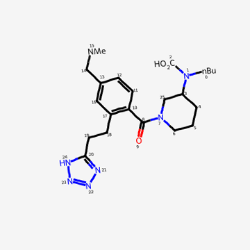 CCCCN(C(=O)O)C1CCCN(C(=O)c2ccc(CNC)cc2CCc2nnn[nH]2)C1